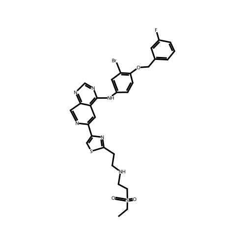 CCS(=O)(=O)CCNCCc1nc(-c2cc3c(Nc4ccc(OCc5cccc(F)c5)c(Br)c4)ncnc3cn2)cs1